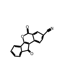 N#Cc1ccc2c3c(oc(=O)c2c1)-c1ccccc1C3=O